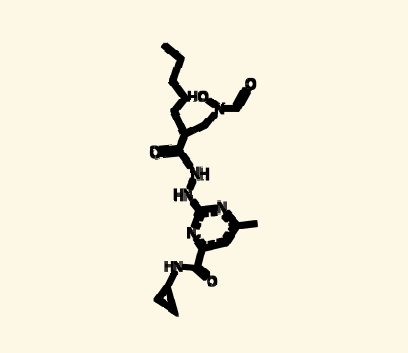 CCCCCC(CN(O)C=O)C(=O)NNc1nc(C)cc(C(=O)NC2CC2)n1